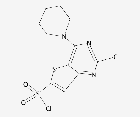 O=S(=O)(Cl)c1cc2nc(Cl)nc(N3CCCCC3)c2s1